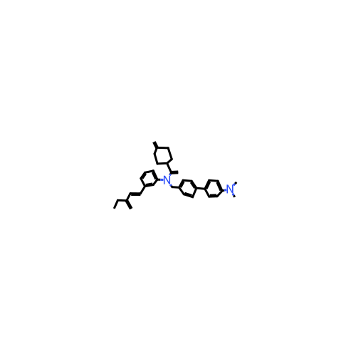 C=C(/C=C/c1cccc(N(Cc2ccc(-c3ccc(N(C)C)cc3)cc2)C(=C)C2CCC(=C)CC2)c1)CC